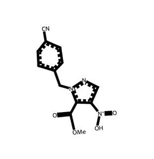 COC(=O)c1c([N+](=O)O)cnn1Cc1ccc(C#N)cc1